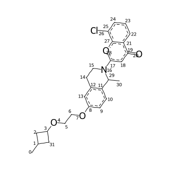 CC1CC(OCCOc2ccc3c(c2)CCN(c2cc(=O)c4cccc(Cl)c4o2)C3C)C1